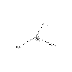 CCCCCCCCCCC(C)(CCCCCCCC)SCCCCCCCC